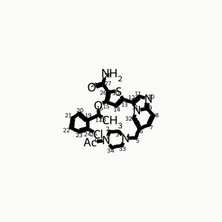 CC(=O)N1CCN(Cc2ccc3ncc(-c4cc(OC(C)c5ccccc5Cl)c(C(N)=O)s4)n3c2)CC1